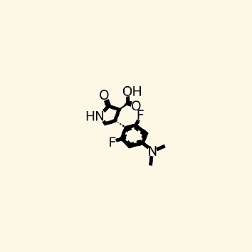 CN(C)c1cc(F)c([C@@H]2CNC(=O)[C@H]2C(=O)O)c(F)c1